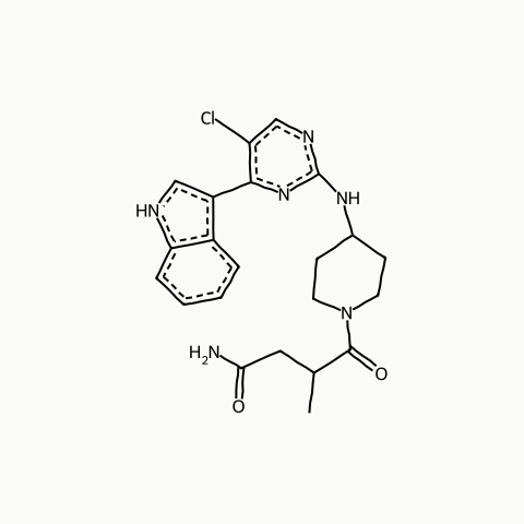 CC(CC(N)=O)C(=O)N1CCC(Nc2ncc(Cl)c(-c3c[nH]c4ccccc34)n2)CC1